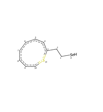 [SeH]CCc1cccccccs1